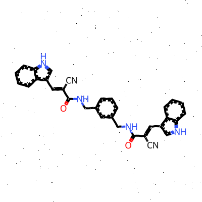 N#C/C(=C\c1c[nH]c2ccccc12)C(=O)NCc1cccc(CNC(=O)/C(C#N)=C/c2c[nH]c3ccccc23)c1